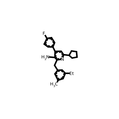 CCc1cc(C)cc(Cc2nc(C3CCCC3)cc(-c3ccc(F)cc3)c2N)c1